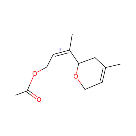 CC(=O)OC/C=C(/C)C1CC(C)=CCO1